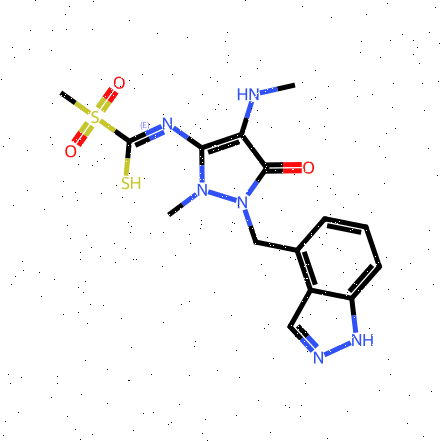 CNc1c(/N=C(\S)S(C)(=O)=O)n(C)n(Cc2cccc3[nH]ncc23)c1=O